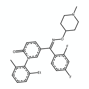 CCc1cccc(C)c1-n1cc(C(=NOC2CCN(C)CC2)c2ccc(F)cc2F)ccc1=O